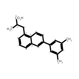 Cc1cc(C)cc(-c2ccc3c(CC(C)C(=O)O)cccc3c2)c1